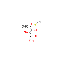 CC(C)SO[C@@H](C=O)[C@@H](O)[C@H](O)[C@H](O)CO